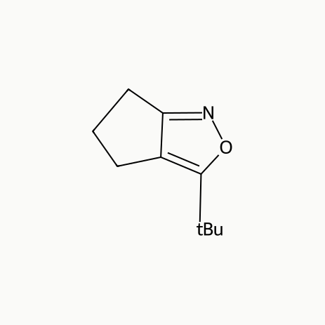 CC(C)(C)c1onc2c1CCC2